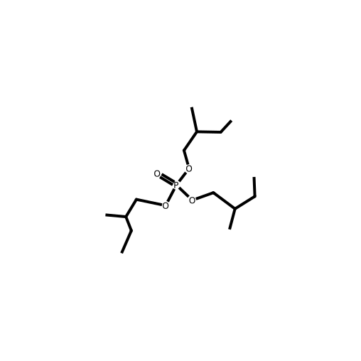 CCC(C)COP(=O)(OCC(C)CC)OCC(C)CC